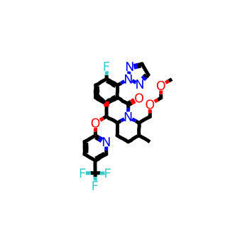 CCC(Oc1ccc(C(F)(F)F)cn1)C1CCC(C)C(COCOC)N1C(=O)c1cccc(F)c1-n1nccn1